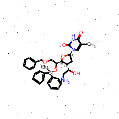 Cc1cn([C@H]2C[C@H](C(O)CN)[C@@H](C(COCc3ccccc3)O[Si](c3ccccc3)(c3ccccc3)C(C)(C)C)O2)c(=O)[nH]c1=O